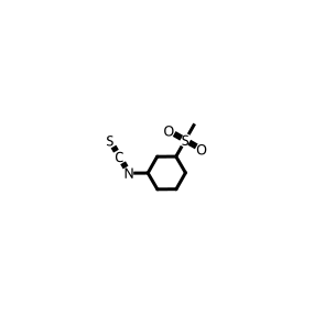 CS(=O)(=O)C1CCCC(N=C=S)C1